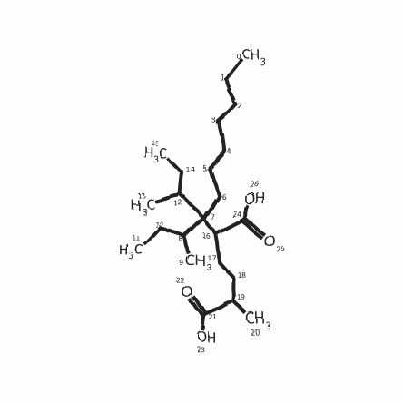 CCCCCCCC(C(C)CC)(C(C)CC)C(CCC(C)C(=O)O)C(=O)O